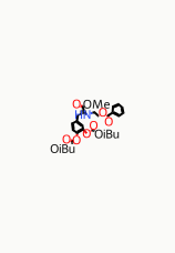 COC(=O)[C@H](Cc1ccc(OC(=O)OCC(C)C)c(OC(=O)OCC(C)C)c1)NCCOC(=O)c1ccccc1